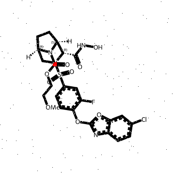 COCCOC(=O)N1[C@@H]2CC[C@H]1[C@H](C(=O)NO)N(S(=O)(=O)c1ccc(Oc3nc4ccc(Cl)cc4o3)c(F)c1)C2